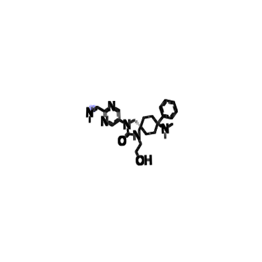 C/N=C\c1ncc(N2C[C@]3(CC[C@](c4ccccc4)(N(C)C)CC3)N(CCO)C2=O)cn1